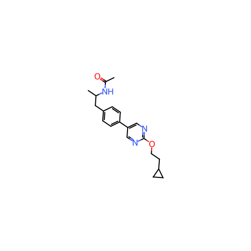 CC(=O)NC(C)Cc1ccc(-c2cnc(OCCC3CC3)nc2)cc1